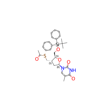 CC(=O)SC[C@H]1C[C@H](n2cc(C)c(=O)[nH]c2=O)O[C@@H]1CO[Si](c1ccccc1)(c1ccccc1)C(C)(C)C